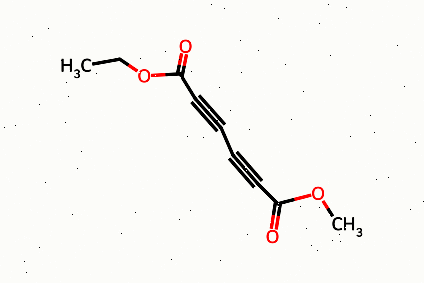 CCOC(=O)C#CC#CC(=O)OC